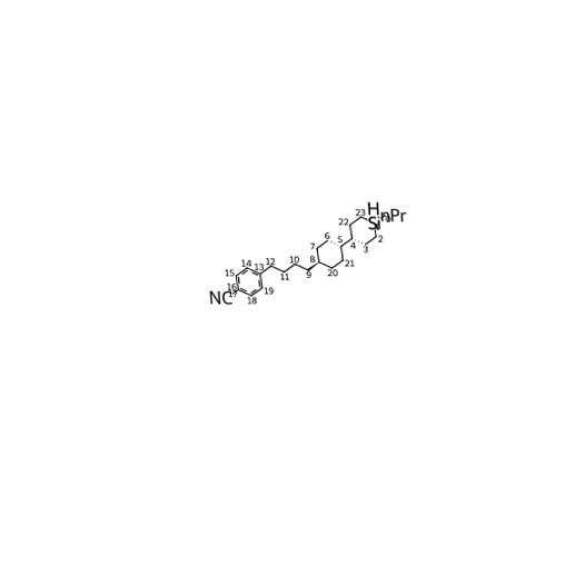 CCC[Si@H]1CC[C@H]([C@H]2CC[C@H](CCCCc3ccc(C#N)cc3)CC2)CC1